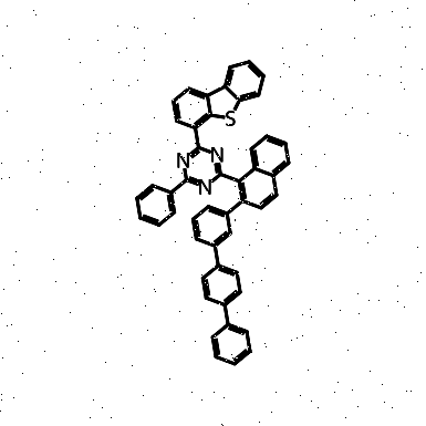 c1ccc(-c2ccc(-c3cccc(-c4ccc5ccccc5c4-c4nc(-c5ccccc5)nc(-c5cccc6c5sc5ccccc56)n4)c3)cc2)cc1